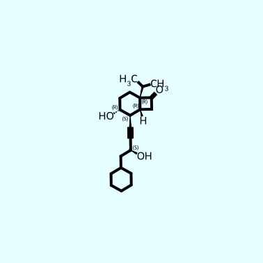 CC(C)[C@]12CC[C@@H](O)[C@H](C#C[C@@H](O)CC3CCCCC3)[C@H]1CC2=O